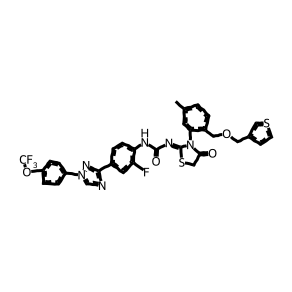 Cc1ccc(COCc2ccsc2)c(N2C(=O)CSC2=NC(=O)Nc2ccc(-c3ncn(-c4ccc(OC(F)(F)F)cc4)n3)cc2F)c1